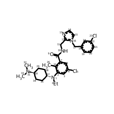 CCN(c1cc(Cl)cc(C(=O)NCc2nccn2Cc2cccc(Cl)c2)c1C)[C@H]1CC[C@H](N(C)C)CC1